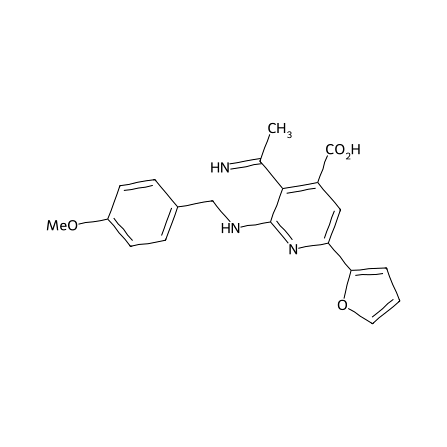 COc1ccc(CNc2nc(-c3ccco3)cc(C(=O)O)c2C(C)=N)cc1